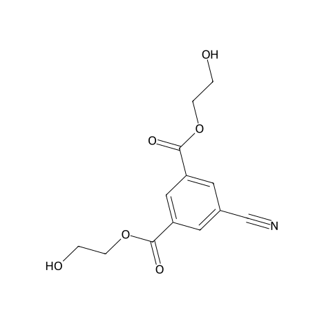 N#Cc1cc(C(=O)OCCO)cc(C(=O)OCCO)c1